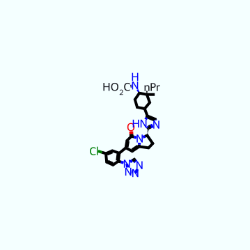 CCC[C@]1(C)CC(c2cnc([C@@H]3CCc4cc(-c5cc(Cl)ccc5-n5cnnn5)cc(=O)n43)[nH]2)CC[C@H]1NC(=O)O